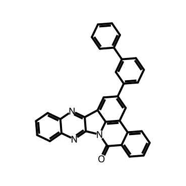 O=c1c2ccccc2c2cc(-c3cccc(-c4ccccc4)c3)cc3c4nc5ccccc5nc4n1c23